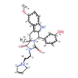 COc1ccc2[nH]c3c(c2c1)CC1(C)C(=O)N(CCN2CC=CC2)C(=O)N1C3c1cccc(O)c1